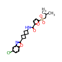 CC(C)CS(=O)(=O)c1ccc(C(=O)NC2CC3(C2)CC(c2nc4cc(Cl)ccc4o2)C3)o1